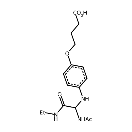 CCNC(=O)C(NC(C)=O)Nc1ccc(OCCCC(=O)O)cc1